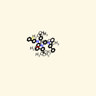 Cc1cc2c3c(c1)N(c1ccc(C(C)(C)C)cc1-c1ccccc1)c1cc(N4c5ccc(-c6ccccc6)cc5C5(C)CCCCC45C)ccc1B3c1ccc(C(C)(C)C)cc1N2c1ccc2c(c1)sc1ccccc12